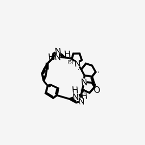 O=C=C1[CH]CC[C]2C1N1CCC[C@H]1c1ncc([nH]1)-c1ccc(cc1)-c1ccc(cc1)-c1cnc([nH]1)[C@@H]1CCCN21